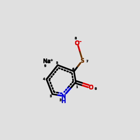 O=c1[nH]cccc1S[O-].[Na+]